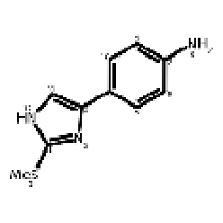 CSc1nc(-c2ccc(N)cc2)c[nH]1